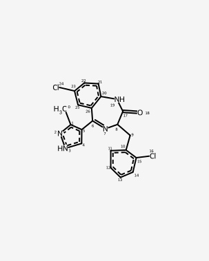 Cc1n[nH]cc1C1=NC(Cc2ccccc2Cl)C(=O)Nc2ccc(Cl)cc21